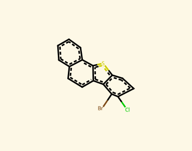 Clc1ccc2sc3c4ccccc4ccc3c2c1Br